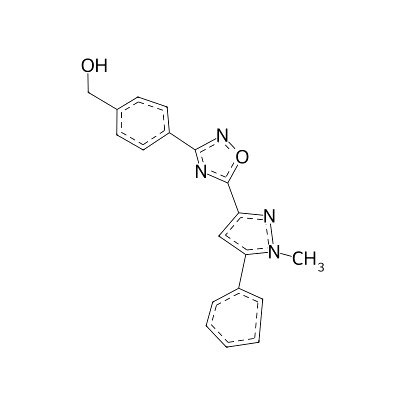 Cn1nc(-c2nc(-c3ccc(CO)cc3)no2)cc1-c1ccccc1